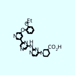 CCOc1ccccc1Oc1cncc(-c2cncc(Nc3nccc(N4CCCC(C(=O)O)C4)n3)n2)c1